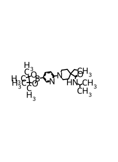 CCC1(C(=O)NC(C)C)CCN(c2ccc(B3OC(C)(C)C(C)(C)O3)cn2)CC1